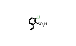 C=Cc1cccc(Cl)c1S(=O)(=O)O